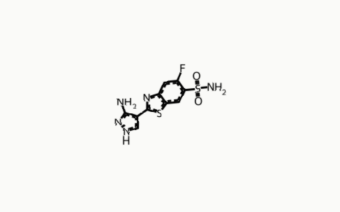 Nc1n[nH]cc1-c1nc2cc(F)c(S(N)(=O)=O)cc2s1